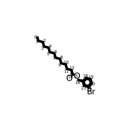 CCCCCCCCCCCCCC(=O)OCc1cccc(Br)c1